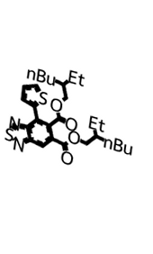 CCCCC(CC)COC(=O)c1cc2nsnc2c(-c2cccs2)c1C(=O)OCC(CC)CCCC